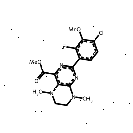 COC(=O)c1nc(-c2ccc(Cl)c(OC)c2F)nc2c1N(C)CCN2C